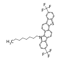 CCCCCCCCn1c2ccc(C(F)(F)F)cc2c2ccc3c(ccc4c5cc(C(F)(F)F)ccc5sc43)c21